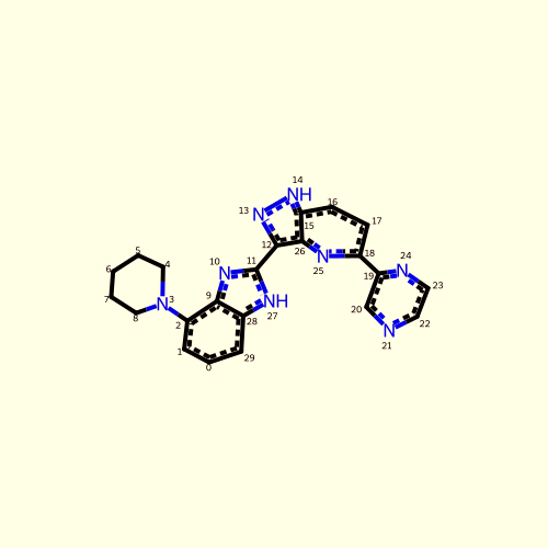 c1cc(N2CCCCC2)c2nc(-c3n[nH]c4ccc(-c5cnccn5)nc34)[nH]c2c1